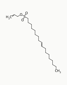 C=CCOS(=O)(=O)CCCCCCCCC=CCCCCCCCC